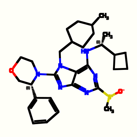 CC1CCC(Cn2c(N3CCOC[C@H]3c3ccccc3)nc3nc([S+](C)[O-])nc(N[C@H](C)C4CCC4)c32)CC1